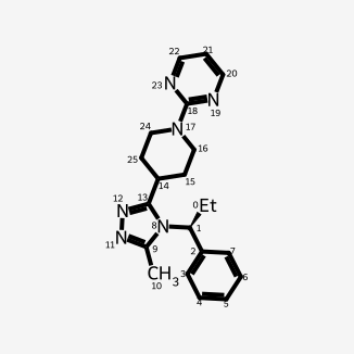 CC[C@@H](c1ccccc1)n1c(C)nnc1C1CCN(c2ncccn2)CC1